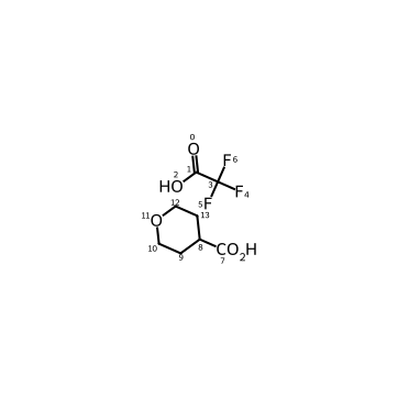 O=C(O)C(F)(F)F.O=C(O)C1CCOCC1